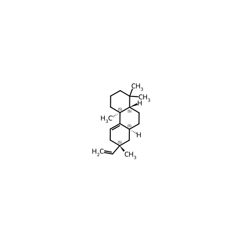 C=C[C@]1(C)CC=C2[C@@H](CC[C@H]3C(C)(C)CCC[C@]23C)C1